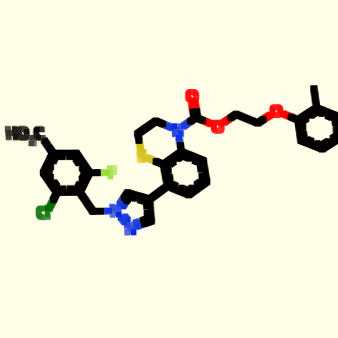 Cc1cccc(OCCOC(=O)N2CCSc3c(-c4cnn(Cc5c(F)cc(C(=O)O)cc5Cl)c4)cccc32)c1C